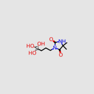 CC1(C)NC(=O)N(CCC[Si](O)(O)O)C1=O